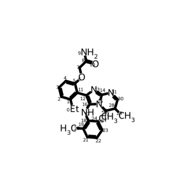 CCc1cccc(OCC(N)=O)c1-c1nc2n(c1Nc1c(C)cccc1Cl)C(C)C(C)C=N2